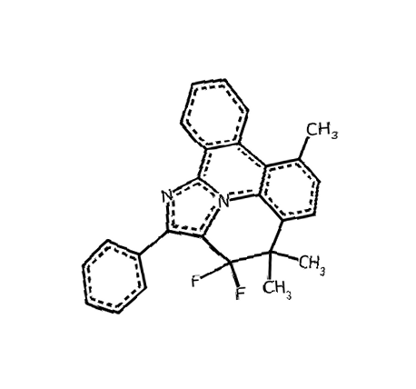 Cc1ccc2c3c1c1ccccc1c1nc(-c4ccccc4)c(n13)C(F)(F)C2(C)C